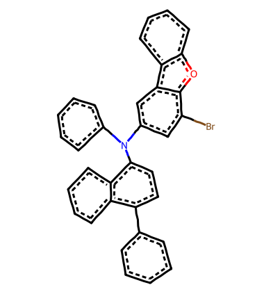 Brc1cc(N(c2ccccc2)c2ccc(-c3ccccc3)c3ccccc23)cc2c1oc1ccccc12